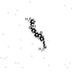 COCCCCN1CCC2(CC1)CC(=O)c1cc(-c3ccc(C(=O)NCc4cncc(C)c4)cn3)ccc1O2